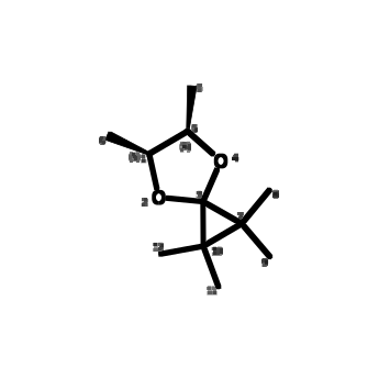 C[C@@H]1OC2(O[C@@H]1C)C(C)(C)C2(C)C